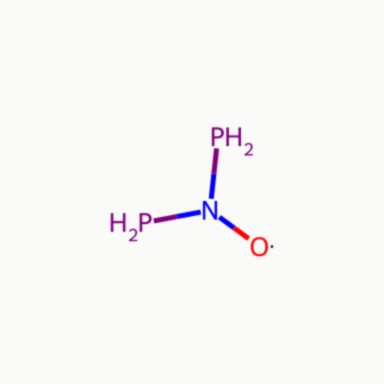 [O]N(P)P